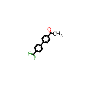 CC(=O)c1ccc(-c2ccc(C(F)F)cc2)cc1